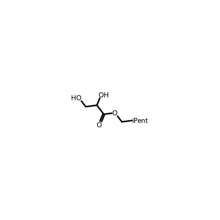 CCCC(C)COC(=O)C(O)CO